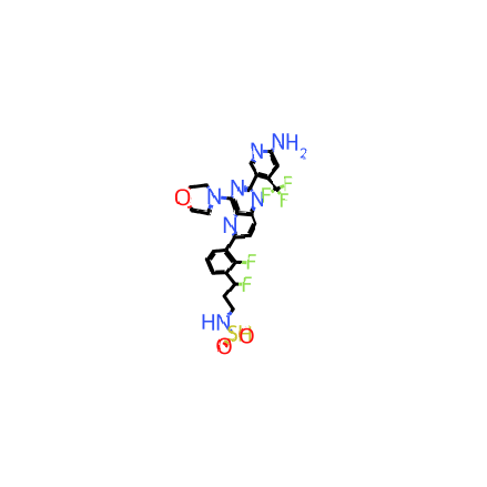 Nc1cc(C(F)(F)F)c(-c2nc(N3CCOCC3)c3nc(-c4cccc(C(F)CCN[SH](=O)=O)c4F)ccc3n2)cn1